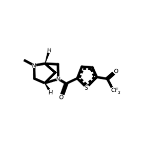 CN1C[C@@H]2C[C@H]1CN2C(=O)c1ccc(C(=O)C(F)(F)F)s1